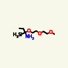 CCC(N)([SiH3])OCCOCCOC